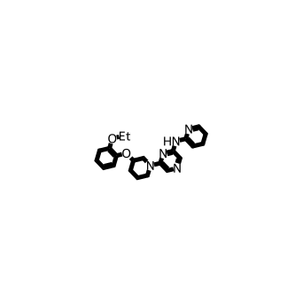 CCOC1=C(OC2CCCN(c3cncc(NC4=CCCC=N4)n3)C2)C=CCC1